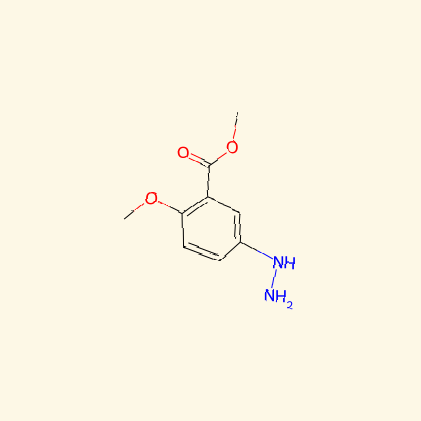 COC(=O)c1cc(NN)ccc1OC